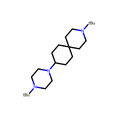 CC(C)(C)N1CCN(C2CCC3(CC2)CCN(C(C)(C)C)CC3)CC1